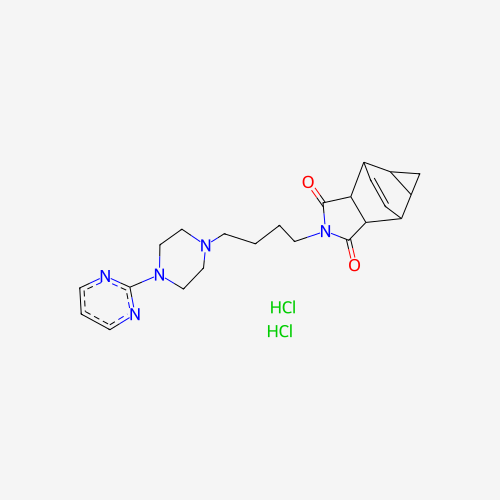 Cl.Cl.O=C1C2C3C=CC(C4CC34)C2C(=O)N1CCCCN1CCN(c2ncccn2)CC1